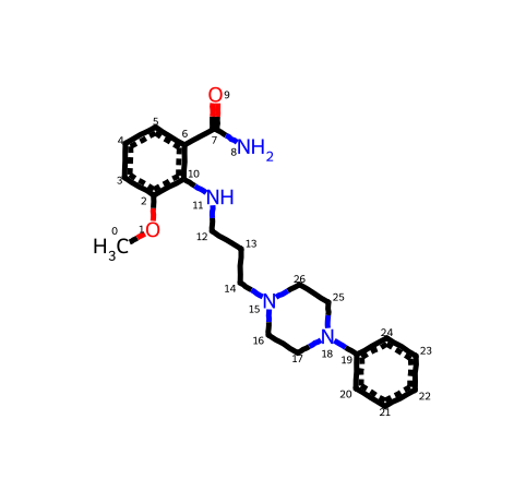 COc1cccc(C(N)=O)c1NCCCN1CCN(c2ccccc2)CC1